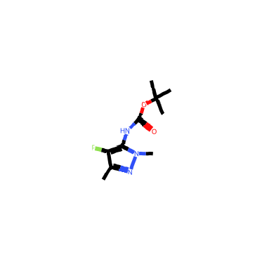 Cc1nn(C)c(NC(=O)OC(C)(C)C)c1F